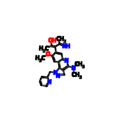 COc1cc2c(cc1/C(C(C)=N)=C(\C)O)nc(N(C)C)c1cnn(Cc3ccccn3)c12